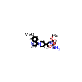 COc1ccc2c(N3CCC(C(C)CN(C(=O)OC(C)(C)C)S(N)(=O)=O)CC3)ccnc2c1